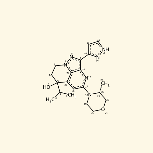 CC(C)C1(O)CCn2nc(-c3cc[nH]n3)c3nc(N4CCOC[C@H]4C)cc1c32